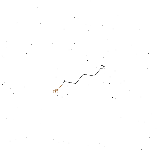 CCCCC[CH]S